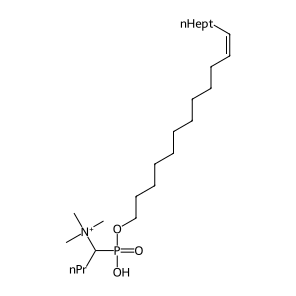 CCCCCCC/C=C\CCCCCCCCCCOP(=O)(O)C(CCC)[N+](C)(C)C